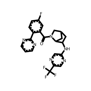 O=C(c1cc(F)ccc1-c1ncccn1)N1CC2CC(Nc3cnc(C(F)(F)F)cn3)C1C2